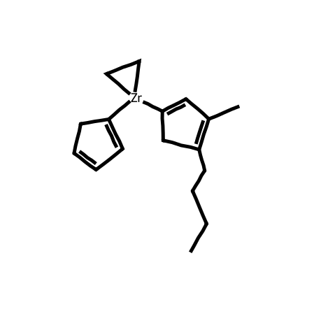 CCCCC1=C(C)C=[C]([Zr]2([C]3=CC=CC3)[CH2][CH2]2)C1